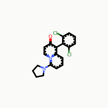 O=c1ccn2c(N3CCCC3)cccc2c1-c1c(Cl)cccc1Cl